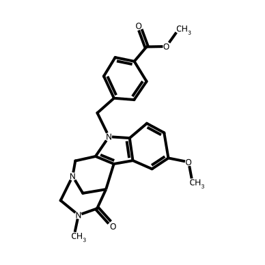 COC(=O)c1ccc(Cn2c3c(c4cc(OC)ccc42)C2CN(C3)CN(C)C2=O)cc1